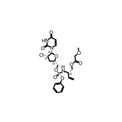 C=C[C@@H](COC(=O)COC)NP(=O)(OC[C@@H]1C[C@H](Cl)[C@H](n2ccc(=O)[nH]c2=O)O1)Oc1ccccc1